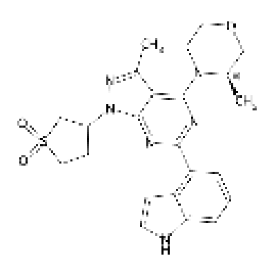 Cc1nn(C2CCS(=O)(=O)C2)c2nc(-c3cccc4[nH]ccc34)nc(N3CCOC[C@H]3C)c12